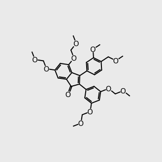 COCOc1cc(OCOC)cc(C2=C(c3ccc(COC)c(OC)c3)c3c(OCOC)cc(OCOC)cc3C2=O)c1